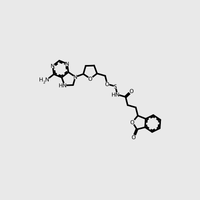 Nc1ncnc2c1NCN2C1CCC(COSNC(=O)CCC2OC(=O)c3ccccc32)O1